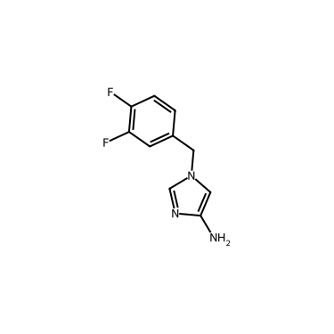 Nc1cn(Cc2ccc(F)c(F)c2)cn1